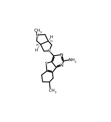 CC1CCc2sc3c(N4C[C@H]5CN(C)C[C@H]5C4)nc(N)nc3c2C1